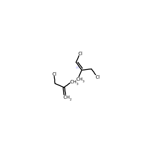 C/C(=C/Cl)CCl.C=C(C)CCl